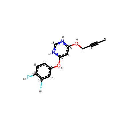 CC#CCOc1cc(Oc2ccc(F)c(F)c2)ncn1